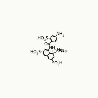 Nc1ccc(C(=O)Nc2cc(S(=O)(=O)O)cc3cc(S(=O)(=O)O)cc(O)c23)c(S(=O)(=O)O)c1.[Na].[Na].[Na]